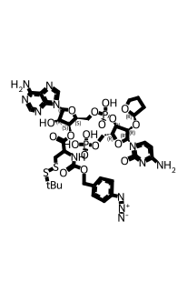 CC(C)(C)SSCC(NC(=O)OCc1ccc(N=[N+]=[N-])cc1)C(=O)O[C@H]1[C@@H](O)[C@H](n2cnc3c(N)ncnc32)O[C@H]1COP(=O)(O)O[C@H]1[C@@H](O[C@@H]2CCCO2)[C@H](n2ccc(N)nc2=O)O[C@@H]1COP(=O)(O)O